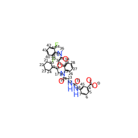 COC(=O)c1cccc(NC(=O)NCC(=O)N(CCC2CCCCC2)c2ccccc2OCC(=O)N(C)c2c(F)cccc2F)c1